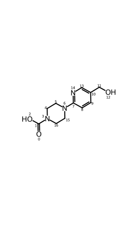 O=C(O)N1CCN(c2ccc(CO)cn2)CC1